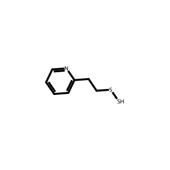 SSCCc1ccccn1